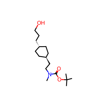 CN(CC[C@H]1CC[C@H](CCCO)CC1)C(=O)OC(C)(C)C